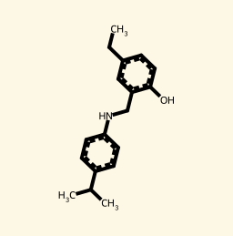 CCc1ccc(O)c(CNc2ccc(C(C)C)cc2)c1